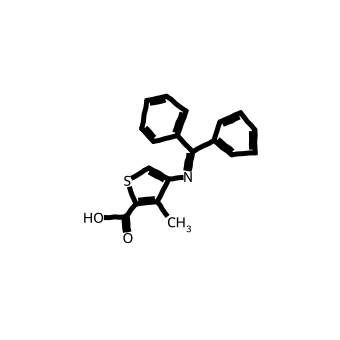 Cc1c(N=C(c2ccccc2)c2ccccc2)csc1C(=O)O